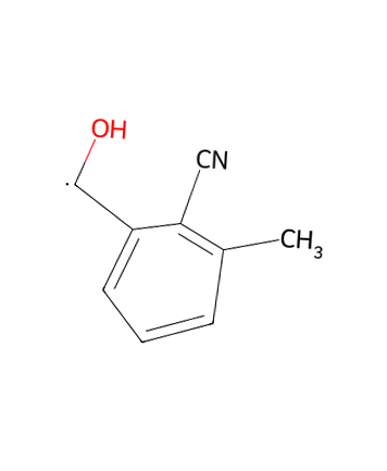 Cc1cccc([CH]O)c1C#N